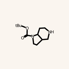 CC(C)(C)OC(=O)N1CCC2CNCCC21